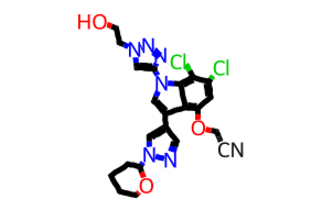 N#CCOc1cc(Cl)c(Cl)c2c1c(-c1cnn(C3CCCCO3)c1)cn2-c1cn(CCO)nn1